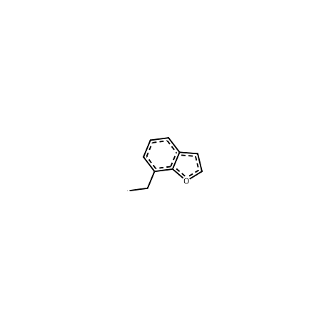 [CH2]Cc1cccc2ccoc12